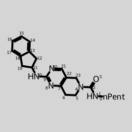 CCCCCNC(=O)N1CCc2nc(NC3Cc4ccccc4C3)ncc2C1